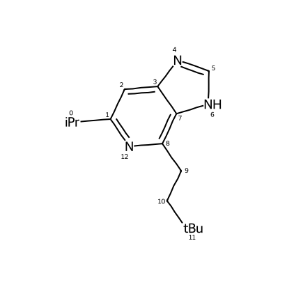 CC(C)c1cc2nc[nH]c2c(CCC(C)(C)C)n1